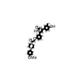 COc1ccc(N2CCN(C(=O)COc3cccc(-c4cc(-c5ccc(O)c(C)c5)nc(=O)[nH]4)c3)CC2)cc1